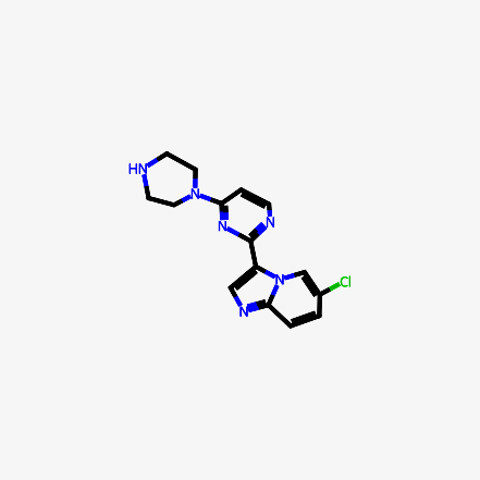 Clc1ccc2ncc(-c3nccc(N4CCNCC4)n3)n2c1